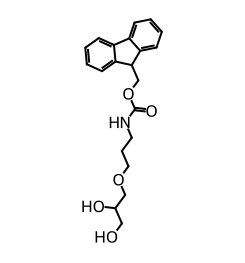 O=C(NCCCOCC(O)CO)OCC1c2ccccc2-c2ccccc21